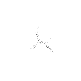 CCCCCCOc1ccc(-c2ccc(N(c3ccc(-c4ccc(OCCCCCC)cc4)cc3)c3ccc(-c4cc(CCCCCC)c(-c5ccc(-c6cc7ccc(C=O)cc7o6)cc5)s4)cc3)cc2)cc1